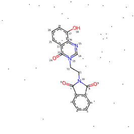 O=C1c2ccccc2C(=O)N1CCn1cnc2c(O)cccc2c1=O